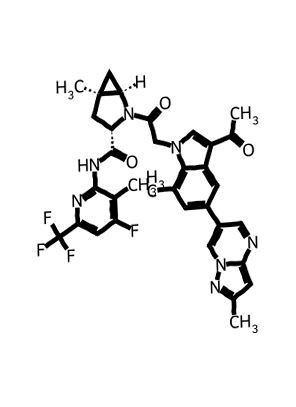 CC(=O)c1cn(CC(=O)N2[C@H](C(=O)Nc3nc(C(F)(F)F)cc(F)c3C)C[C@@]3(C)C[C@@H]23)c2c(C)cc(-c3cnc4cc(C)nn4c3)cc12